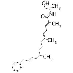 C/C(=C\C/C=C(\C)C(=O)N[C@@H](C)CO)CCCC(C)C/C=C/Cc1ccccc1